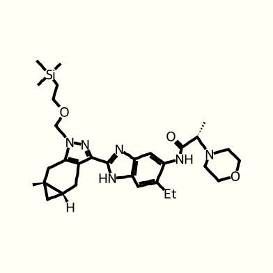 CCc1cc2[nH]c(-c3nn(COCC[Si](C)(C)C)c4c3C[C@@H]3C[C@]3(C)C4)nc2cc1NC(=O)[C@H](C)N1CCOCC1